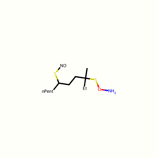 CCCCCC(CCC(C)(CC)SON)SN=O